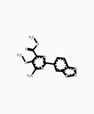 COC(=O)c1nc(-c2ccc3nonc3c2)nc(N)c1OC